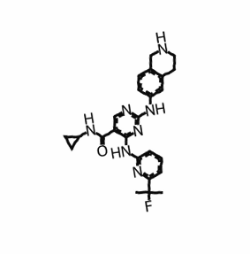 CC(C)(F)c1cccc(Nc2nc(Nc3ccc4c(c3)CCNC4)ncc2C(=O)NC2CC2)n1